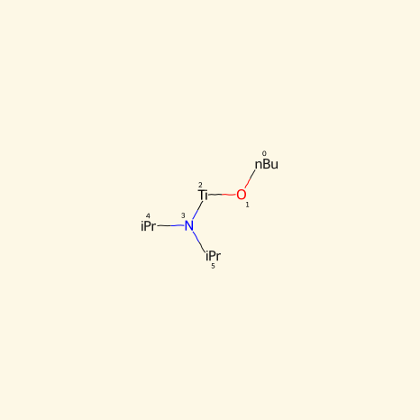 CCCC[O][Ti][N](C(C)C)C(C)C